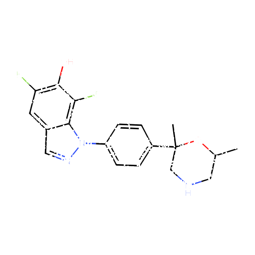 CC1CNCC(C)(c2ccc(-n3ncc4cc(F)c(O)c(F)c43)cc2)O1